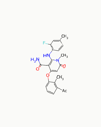 CC(=O)c1cccc(Oc2cc(=O)n(C)c(Nc3ccc(C)cc3F)c2C(N)=O)c1C